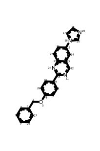 c1ccc(COc2ccc(-c3ncc4cc(-n5ccnc5)ccc4n3)cc2)cc1